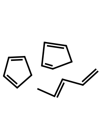 C1=CCC=C1.C1=CCC=C1.C=CC=CC